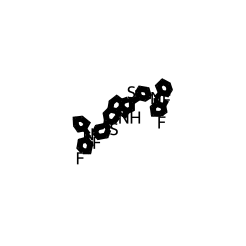 Fc1ccc(N(c2ccccc2)c2ccc3sc4c(cc5[nH]c6c7sc8ccc(N(c9ccccc9)c9ccc(F)cc9F)cc8c7cc7ccc4c5c76)c3c2)c(F)c1